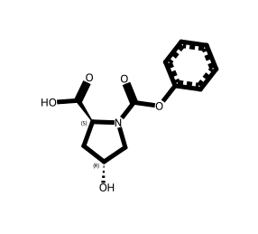 O=C(O)[C@@H]1C[C@@H](O)CN1C(=O)Oc1ccccc1